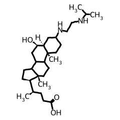 CC(C)NCCNC1CC[C@]2(C)C3CC[C@@]4(C)C(CC[C@@H]4[C@H](C)CCC(=O)O)C3C[C@@H](O)[C@H]2C1